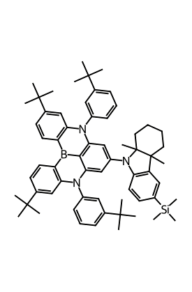 CC(C)(C)c1cccc(N2c3cc(C(C)(C)C)ccc3B3c4ccc(C(C)(C)C)cc4N(c4cccc(C(C)(C)C)c4)c4cc(N5c6ccc([Si](C)(C)C)cc6C6(C)CCCCC56C)cc2c43)c1